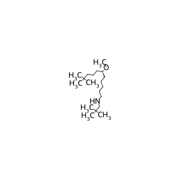 CO[C@@H](CCCCCNCC(C)(C)C)CCCC(C)(C)C